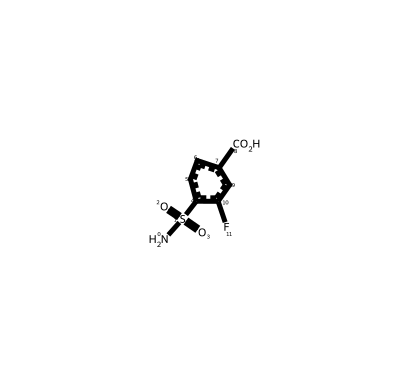 NS(=O)(=O)c1ccc(C(=O)O)cc1F